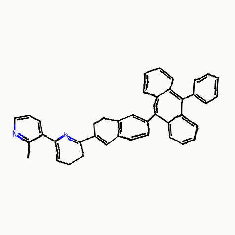 Cc1ncccc1C1=CCCC(C2=Cc3ccc(-c4c5ccccc5c(-c5ccccc5)c5ccccc45)cc3CC2)=N1